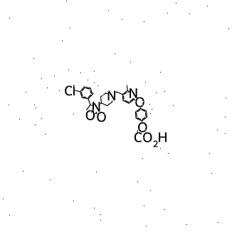 Cc1nc(Oc2ccc(OCC(=O)O)cc2)ccc1CN1CCC(N2C(=O)OCC2c2cccc(Cl)c2)CC1